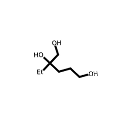 CCC(O)(CO)CCCO